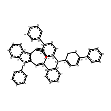 C1#Cc2c(n(-c3ccccc3)c3ccccc23)C=C(c2ccccc2N(C2=CC=C(c3ccccc3)CC2)c2ccc(-c3ccccc3)cc2)C1